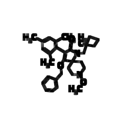 CON1CCC2(CC1)C(OCc1ccccc1)=C(c1c(C)cc(C)cc1C)C(=O)N2CC1(C)CCC1